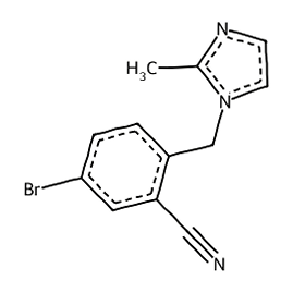 Cc1nccn1Cc1ccc(Br)cc1C#N